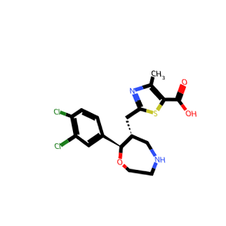 Cc1nc(C[C@@H]2CNCCO[C@H]2c2ccc(Cl)c(Cl)c2)sc1C(=O)O